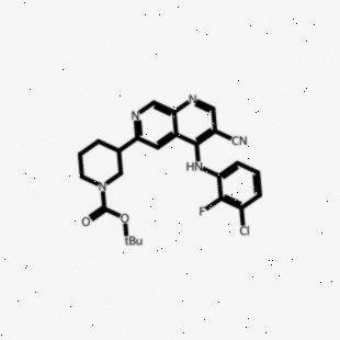 CC(C)(C)OC(=O)N1CCCC(c2cc3c(Nc4cccc(Cl)c4F)c(C#N)cnc3cn2)C1